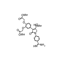 COC(=O)COc1ccc(C2=C(OC)CN(c3ccc(C(=N)N)cc3)C2=O)cc1OCC(=O)OC.Cl